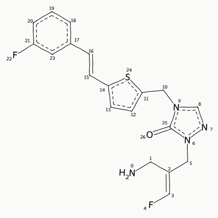 NC/C(=C\F)Cn1ncn(Cc2ccc(/C=C/c3cccc(F)c3)s2)c1=O